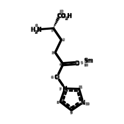 N[C@@H](CCC(=O)On1ccnc1)C(=O)O.[Sm]